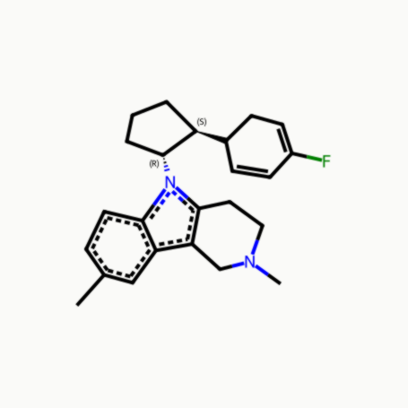 Cc1ccc2c(c1)c1c(n2[C@@H]2CCC[C@H]2C2C=CC(F)=CC2)CCN(C)C1